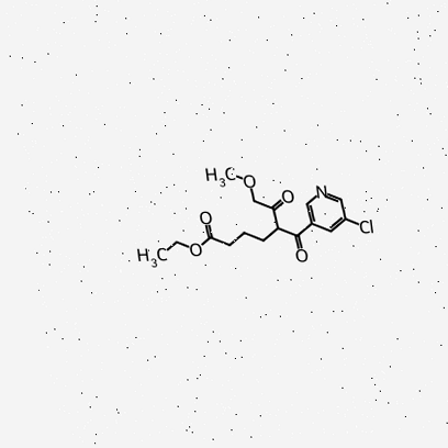 CCOC(=O)CCCC(C(=O)COC)C(=O)c1cncc(Cl)c1